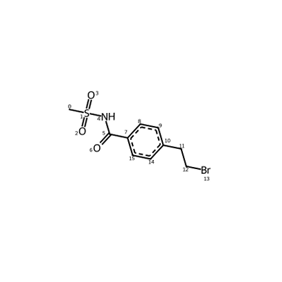 CS(=O)(=O)NC(=O)c1ccc(CCBr)cc1